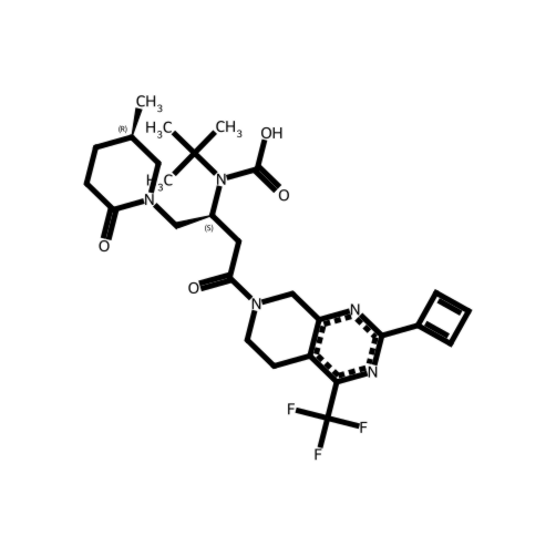 C[C@@H]1CCC(=O)N(C[C@H](CC(=O)N2CCc3c(nc(C4=CC=C4)nc3C(F)(F)F)C2)N(C(=O)O)C(C)(C)C)C1